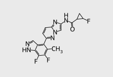 Cc1c(F)c(F)c2[nH]ncc2c1-c1ccc2nc(NC(=O)C3CC3F)cn2n1